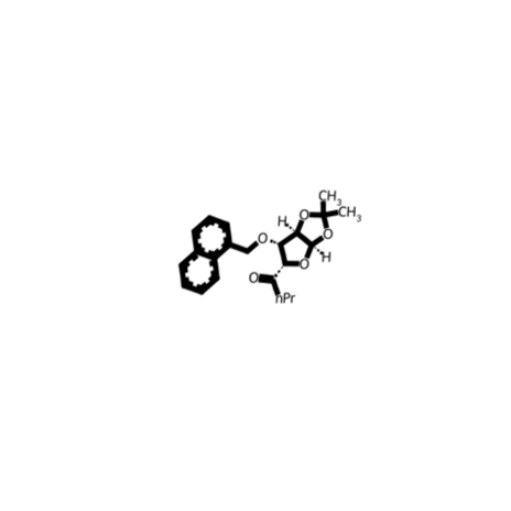 CCCC(=O)[C@H]1O[C@@H]2OC(C)(C)O[C@@H]2[C@H]1OCc1cccc2ccccc12